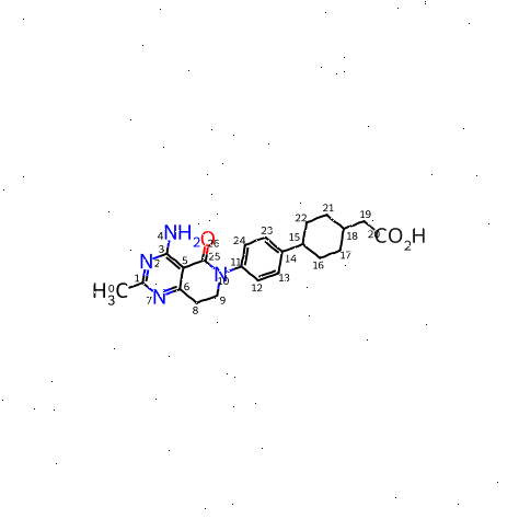 Cc1nc(N)c2c(n1)CCN(c1ccc(C3CCC(CC(=O)O)CC3)cc1)C2=O